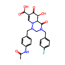 CC(=O)Nc1ccc(CN2CN(Cc3ccc(F)cc3)C(=O)C3C(O)C(=O)C(C(=O)O)=CN32)cc1